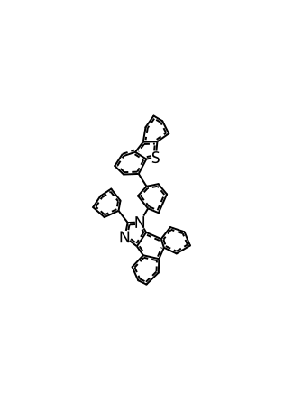 c1ccc(-c2nc3c4ccccc4c4ccccc4c3n2-c2cccc(-c3cccc4c3sc3ccccc34)c2)cc1